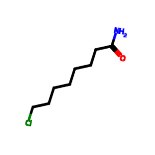 NC(=O)CCCCCCCCl